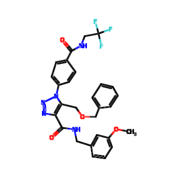 COc1cccc(CNC(=O)c2nnn(-c3ccc(C(=O)NCC(F)(F)F)cc3)c2COCc2ccccc2)c1